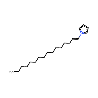 CCCCCCCCCCCCCCC=Cn1cccc1